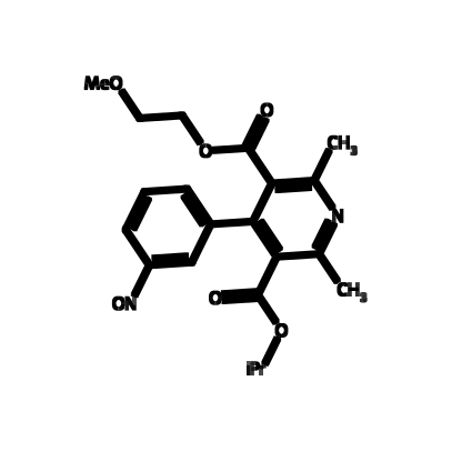 COCCOC(=O)c1c(C)nc(C)c(C(=O)OC(C)C)c1-c1cccc(N=O)c1